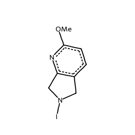 COc1ccc2c(n1)CN(I)C2